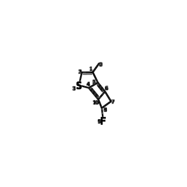 Cc1csc2c1=C1CC(F)C=21